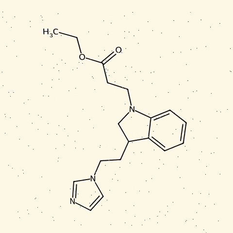 CCOC(=O)CCN1CC(CCn2ccnc2)c2ccccc21